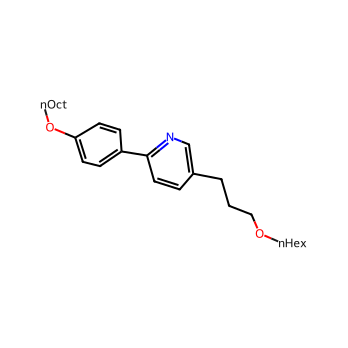 CCCCCCCCOc1ccc(-c2ccc(CCCOCCCCCC)cn2)cc1